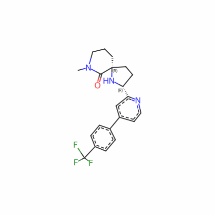 CN1CCC[C@@]2(CC[C@H](c3cc(-c4ccc(C(F)(F)F)cc4)ccn3)N2)C1=O